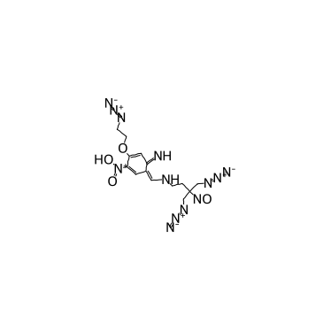 [N-]=[N+]=NCCOC1=CC(=N)/C(=C\NCCC(CN=[N+]=[N-])(CN=[N+]=[N-])N=O)C=C1[N+](=O)O